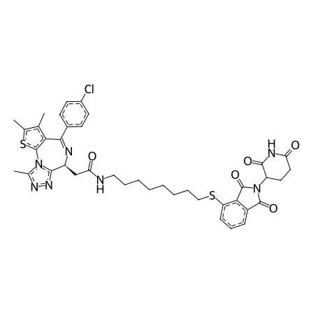 Cc1sc2c(c1C)C(c1ccc(Cl)cc1)=N[C@@H](CC(=O)NCCCCCCCCSc1cccc3c1C(=O)N(C1CCC(=O)NC1=O)C3=O)c1nnc(C)n1-2